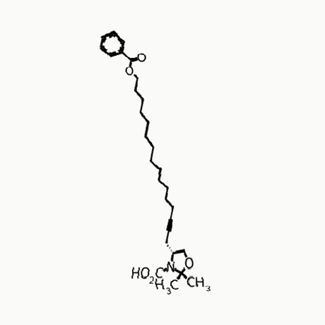 CC1(C)OC[C@@H](CC#CCCCCCCCCCCCCCOC(=O)c2ccccc2)N1C(=O)O